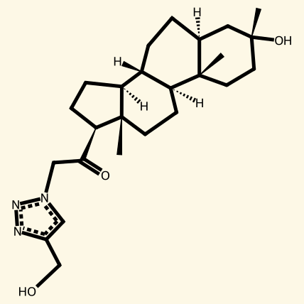 C[C@@]1(O)CC[C@@]2(C)[C@@H](CC[C@@H]3[C@@H]2CC[C@]2(C)[C@@H](C(=O)Cn4cc(CO)nn4)CC[C@@H]32)C1